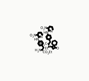 CCN(C1=CC(=O)C12CCCCC2)[C@@H](Cc1ccc(Nc2ncccc2[N+](=O)[O-])cc1)C(=O)O.CCOC(=O)[C@@H](N)Cc1ccc(Nc2ncccc2[N+](=O)[O-])cc1